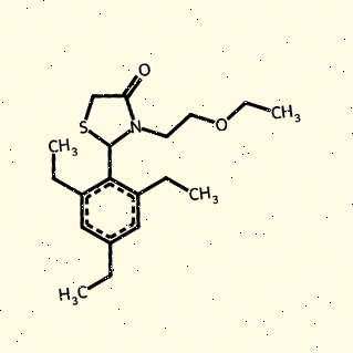 CCOCCN1C(=O)CSC1c1c(CC)cc(CC)cc1CC